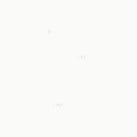 [CH2][C@@H](CCO)c1ccc(OC)cc1